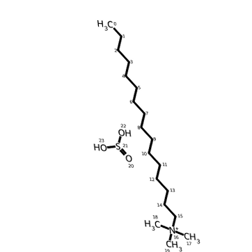 CCCCCCCCCCCCCCCC[N+](C)(C)C.O=S(O)O